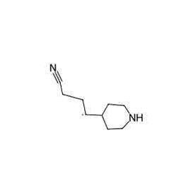 N#CCC[CH]C1CCNCC1